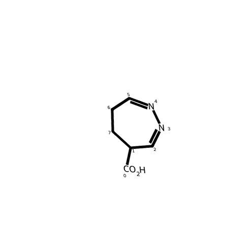 O=C(O)C1C=NN=CCC1